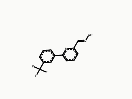 ON=Cc1cccc(-c2cccc(C(F)(F)F)c2)n1